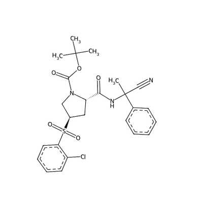 CC(C)(C)OC(=O)N1C[C@H](S(=O)(=O)c2ccccc2Cl)C[C@H]1C(=O)NC(C)(C#N)c1ccccc1